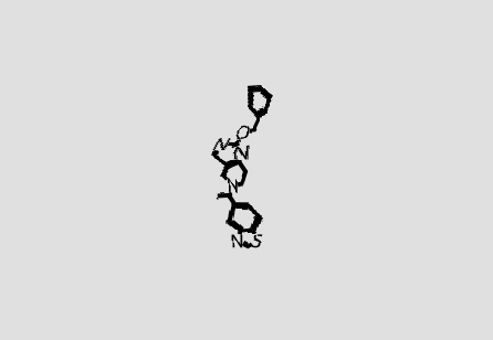 CC(c1ccc2scnc2c1)N1CCc2nc(OCc3ccccc3)ncc2C1